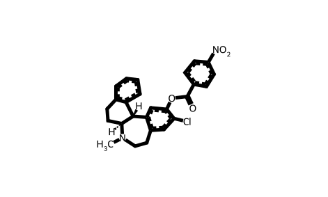 CN1CCc2cc(Cl)c(OC(=O)c3ccc([N+](=O)[O-])cc3)cc2[C@H]2c3ccccc3CC[C@@H]21